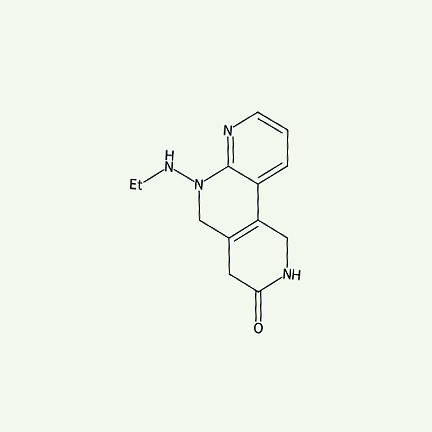 CCNN1CC2=C(CNC(=O)C2)c2cccnc21